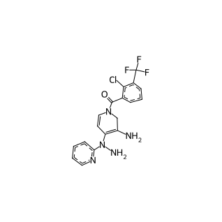 NC1=C(N(N)c2ccccn2)C=CN(C(=O)c2cccc(C(F)(F)F)c2Cl)C1